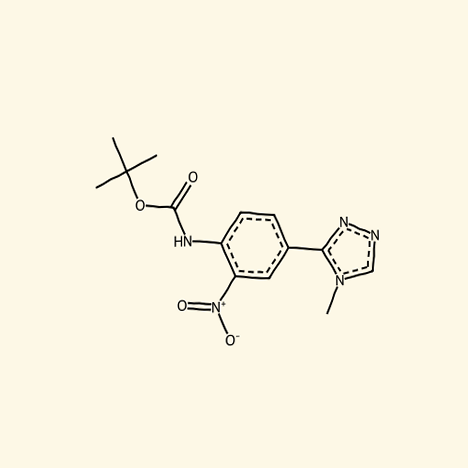 Cn1cnnc1-c1ccc(NC(=O)OC(C)(C)C)c([N+](=O)[O-])c1